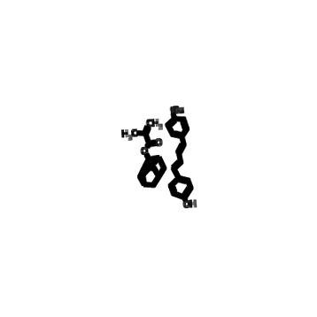 C=C(C)C(=O)OC1C2CC3CC(C2)CC1C3.CC(C)(C)c1ccc(C=CC=Cc2ccc(O)cc2)cc1